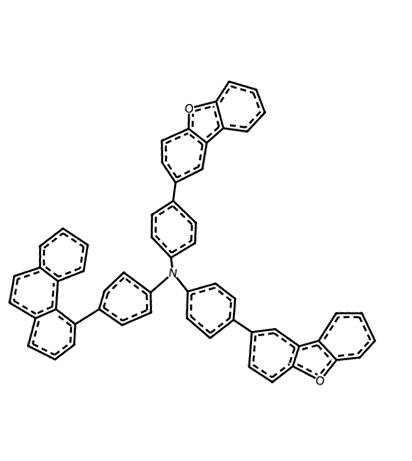 c1ccc2c(c1)ccc1cccc(-c3ccc(N(c4ccc(-c5ccc6oc7ccccc7c6c5)cc4)c4ccc(-c5ccc6oc7ccccc7c6c5)cc4)cc3)c12